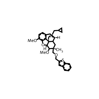 COc1ccc2c3c1O[C@H]1C(OC)[C@@](C)(COCc4cc5ccccc5s4)CC4[C@@H](C2)N(CC2CC2)CC[C@@]341